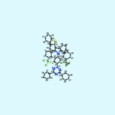 FC(F)(F)c1ccccc1-c1cc(-c2nc(-c3ccccc3)nc(-c3ccccc3)n2)cc(-c2ccccc2C(F)(F)F)c1-n1c2ccccc2c2c3sc4ccccc4c3ccc21